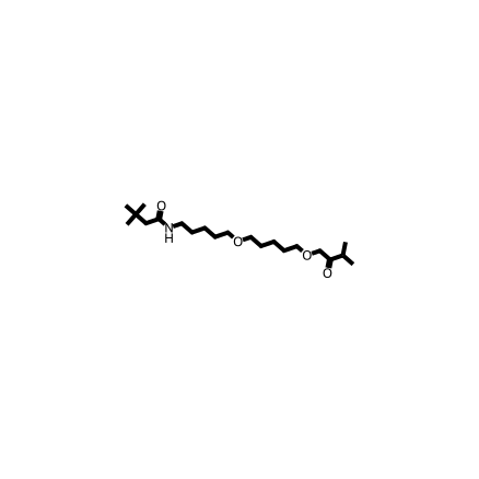 CC(C)C(=O)COCCCCCOCCCCCNC(=O)CC(C)(C)C